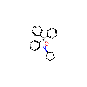 c1ccc([Si](ON=C2CCCC2)(c2ccccc2)c2ccccc2)cc1